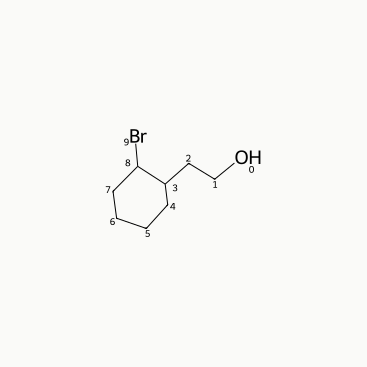 OCCC1CCCCC1Br